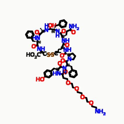 C[C@@H]1NC(O)[C@H](Cc2ccccc2)NC(=O)[C@H](CCC(N)=O)NC(=O)[C@H](NC(=O)[C@@H]2CCCN2C(=O)[C@H](Cc2ccccc2)NC(=O)[C@H](Cc2ccc(O)cc2)NC(=O)CCOCCOCCOCCOCCN)CCSSC[C@@H](C(=O)O)NC(=O)[C@H](Cc2ccccc2)NC1=O